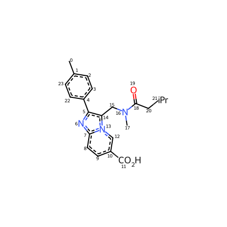 Cc1ccc(-c2nc3ccc(C(=O)O)cn3c2CN(C)C(=O)CC(C)C)cc1